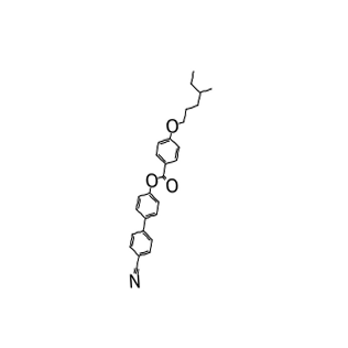 CCC(C)CCCOc1ccc(C(=O)Oc2ccc(-c3ccc(C#N)cc3)cc2)cc1